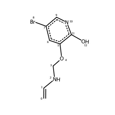 C=CNCOc1cc(Br)cnc1O